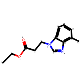 CCOC(=O)CCn1cnc2c(C)cccc21